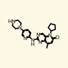 Cc1cc(=O)n(C2CCCC2)c2cnc(Nc3ccc(N4CCNCC4)cn3)nc12